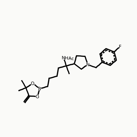 C=C1OB(CCCCC(C)(NC(C)=O)C2CCN(Cc3ccc(F)cc3)C2)OC1(C)C